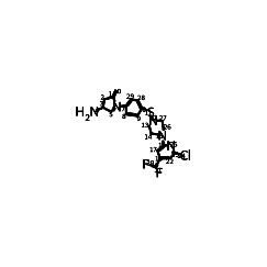 C=C1CC(N)CN1c1ccc(SN2CCN(c3cc(C(F)F)cc(Cl)n3)CC2)cc1